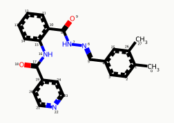 Cc1ccc(C=NNC(=O)c2ccccc2NC(=O)c2ccncc2)cc1C